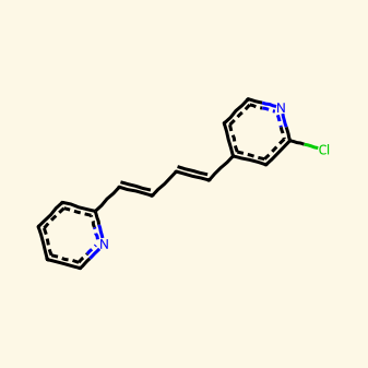 Clc1cc(C=CC=Cc2ccccn2)ccn1